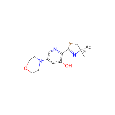 CC(=O)[C@@]1(C)CSC(c2ncc(N3CCOCC3)cc2O)=N1